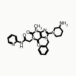 Cn1c(=O)n(CC(=O)Nc2ccccn2)c(=O)c2c1nc(N1CCCC(N)C1)n2Cc1ccccc1